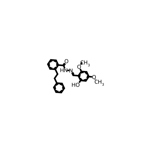 COc1cc(O)c(/C=N/NC(=O)c2ccccc2CCc2ccccc2)c(OC)c1